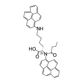 CCCC(=O)N(c1ccc2ccc3cccc4ccc1c2c34)[C@@H](CCCCNc1ccc2ccc3cccc4ccc1c2c34)C(=O)O